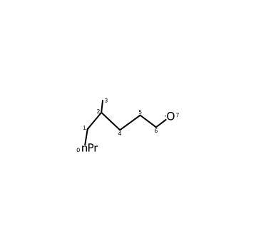 CCCCC(C)CCC[O]